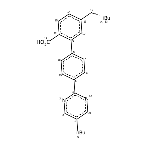 CCCCc1cnc(-c2ccc(-c3cc(C[C@@H](C)CC)ccc3C(=O)O)cc2)nc1